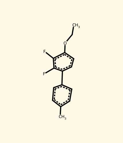 CCOc1ccc(-c2ccc(C)cc2)c(F)c1F